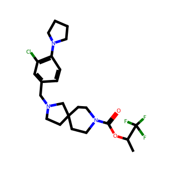 CC(OC(=O)N1CCC2(CCN(Cc3ccc(N4CCCC4)c(Cl)c3)C2)CC1)C(F)(F)F